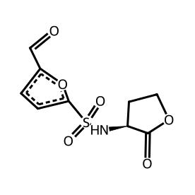 O=Cc1ccc(S(=O)(=O)N[C@H]2CCOC2=O)o1